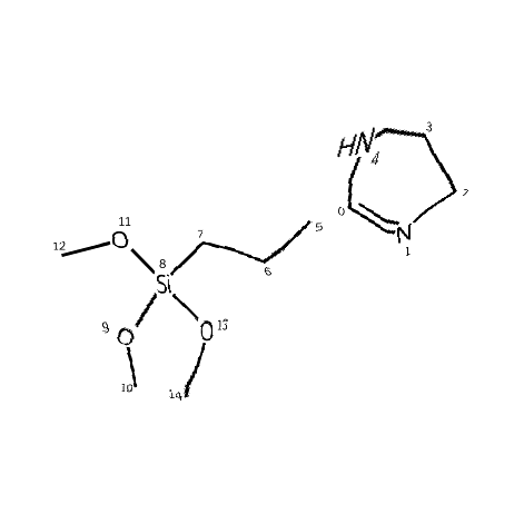 C1=NCCN1.CCC[Si](OC)(OC)OC